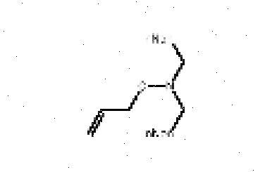 C=CCON(CCCCCCCCCC)CCCCCCCCCC